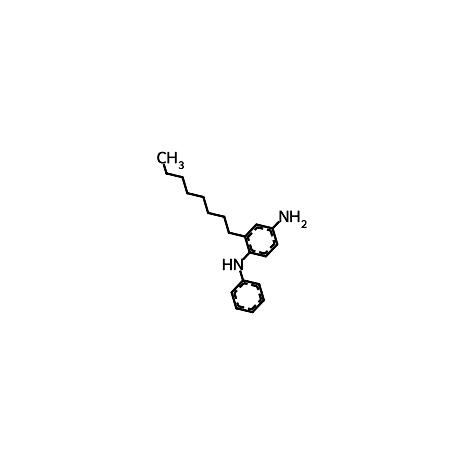 CCCCCCCCc1cc(N)ccc1Nc1ccccc1